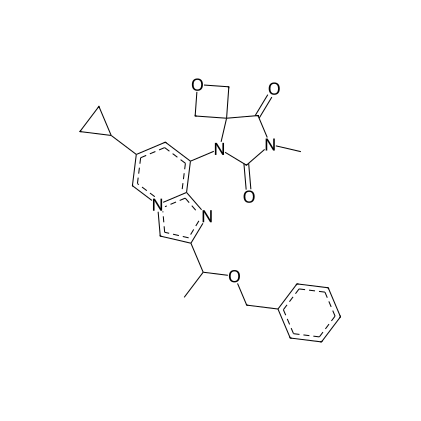 CC(OCc1ccccc1)c1cn2cc(C3CC3)cc(N3C(=O)N(C)C(=O)C34COC4)c2n1